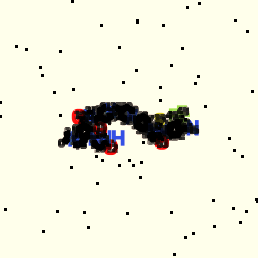 CC(C)n1ccc2c(N3CCC(=O)NC3=O)cc(C(=O)N(C)CC3CCN(CC4CCN(c5ccc(N6C(=S)N(c7ccc(C#N)c(C(F)(F)F)c7)C(=O)C6(C)C)cc5)CC4)CC3)cc21